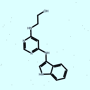 OCCNc1cc(Nc2c[nH]c3ccccc23)ncn1